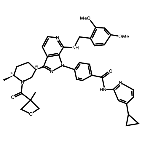 COc1ccc(CNc2nccc3c([C@@H]4CC[C@H](C)N(C(=O)C5(C)COC5)C4)nn(-c4ccc(C(=O)Nc5cc(C6CC6)ccn5)cc4)c23)c(OC)c1